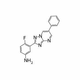 Nc1ccc(F)c(-c2nc3ncc(-c4ccccc4)cn3n2)c1